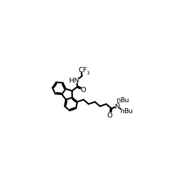 CCCCN(CCCC)C(=O)CCCCCc1cccc2c1C(C(=O)NCC(F)(F)F)c1ccccc1-2